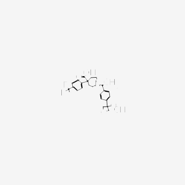 C=C(c1ccc(C2(OC)COC2)cc1)N1CCC(C(=O)O)(c2ccc(C(F)(F)F)cc2)CC1